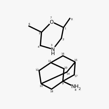 CC1CNCC(C)O1.NC12CC3CC(CC(C3)C1)C2